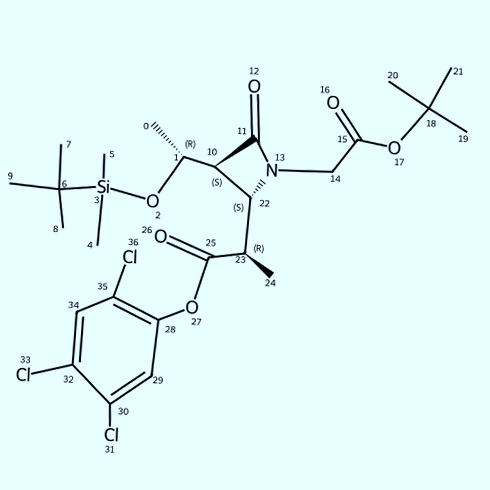 C[C@@H](O[Si](C)(C)C(C)(C)C)[C@H]1C(=O)N(CC(=O)OC(C)(C)C)[C@@H]1[C@@H](C)C(=O)Oc1cc(Cl)c(Cl)cc1Cl